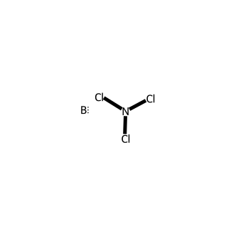 ClN(Cl)Cl.[B]